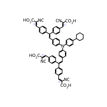 [C-]#[N+]/C(=C\c1ccc(C(=Cc2ccc(N(c3ccc(C=C(c4ccc(/C=C(\[N+]#[C-])C(=O)O)cc4)c4ccc(/C=C(\[N+]#[C-])C(=O)O)cc4)cc3)c3ccc(C4CCCCC4)cc3)cc2)c2ccc(/C=C(\[N+]#[C-])C(=O)O)cc2)cc1)C(=O)O